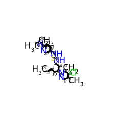 C=C1C(Cl)=C(C)C=NN1C(CCCC)CCNSNc1ccc(N(C)C)nc1